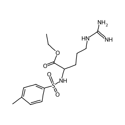 CCOC(=O)C(CCCNC(=N)N)NS(=O)(=O)c1ccc(C)cc1